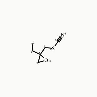 CCC1(CSC#N)CO1